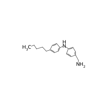 CCCCCc1ccc(Nc2ccc(CN)cc2)cc1